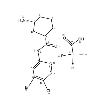 N[C@@H]1CCC[C@H](C(=O)Nc2cc(Br)c(Cl)cn2)C1.O=C(O)C(F)(F)F